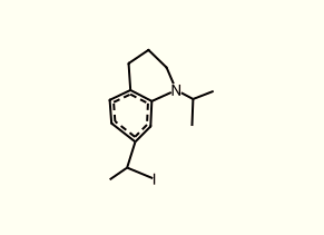 CC(I)c1ccc2c(c1)N(C(C)C)CCC2